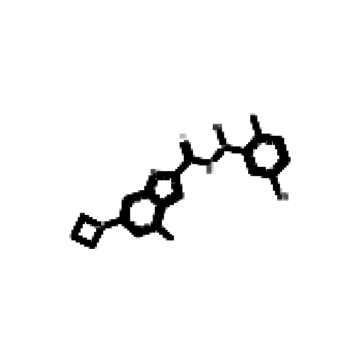 Cc1ccc(C(C)C)cc1[S+]([O-])NC(=O)c1cc2c(F)cc(N3CCC3)cc2o1